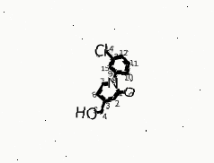 O=c1cc(CO)ccn1-c1cccc(Cl)c1